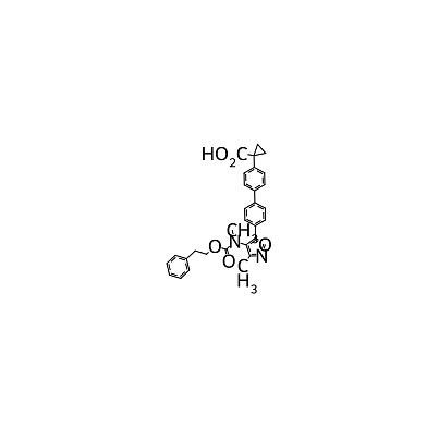 Cc1noc(-c2ccc(-c3ccc(C4(C(=O)O)CC4)cc3)cc2)c1N(C)C(=O)OCCc1ccccc1